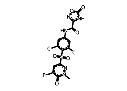 CC(C)c1cc(S(=O)(=O)c2c(Cl)cc(NC(=O)c3noc(=O)[nH]3)cc2Cl)nn(C)c1=O